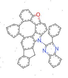 c1ccc(-c2nc3ccccc3nc2-n2c3ccc4oc5cccc6c7ccccc7c7cc8c(c2c7c3c4c56)Cc2ccccc2-8)cc1